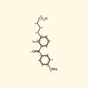 COc1ccc(C(=O)c2cccc(CCCC(=O)O)c2C)cc1